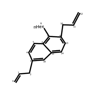 C=CCc1ccc2c(CCCCCC)c(CC=C)ccc2c1